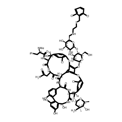 CN[C@H](CC(C)C)C(=O)NC1C(=O)NC(CC(N)=O)C(=O)N[C@H]2C(=O)N[C@H]3C(=O)N[C@H](C(=O)N[C@H](O)c4cc(O)cc(O)c4-c4cc3ccc4O)[C@H](O[C@H]3C[C@](C)(N)[C@@H](O)[C@H](C)O3)c3ccc(c(Cl)c3)Oc3cc2cc(c3O[C@@H]2O[C@H](CO)[C@@H](O[C@@H]3O[C@H](CNCCSCc4c(Cl)cccc4Cl)[C@H](O)[C@H](O)[C@H]3O)[C@H](O)[C@H]2O)Oc2ccc(cc2Cl)[C@H]1O